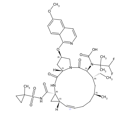 CC[C@@H]1C[C@@H](C)CC/C=C\[C@@H]2C[C@@]2(C(=O)NS(=O)(=O)C2(C)CC2)NC(=O)[C@@H]2C[C@@H](Oc3nccc4cc(OC)ccc34)CN2C(=O)[C@H]1N(C(=O)O)C(C)(C)C(F)F